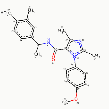 Cc1cc(C(C)NC(=O)c2c(C)nc(C)n2-c2ccc(OC(F)(F)F)cc2)ccc1C(=O)O